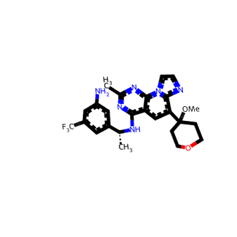 COC1(c2cc3c(N[C@H](C)c4cc(N)cc(C(F)(F)F)c4)nc(C)nc3n3ccnc23)CCOCC1